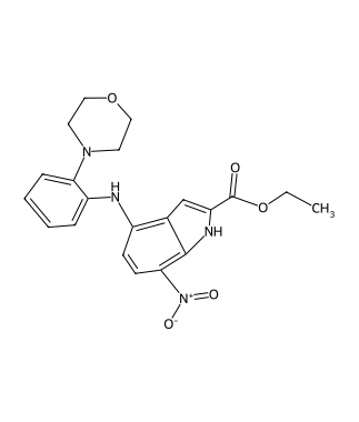 CCOC(=O)c1cc2c(Nc3ccccc3N3CCOCC3)ccc([N+](=O)[O-])c2[nH]1